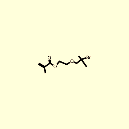 C=C(C)C(=O)OCCOCC(C)(C)Br